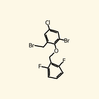 Fc1cccc(F)c1COc1c(Br)cc(Cl)cc1CBr